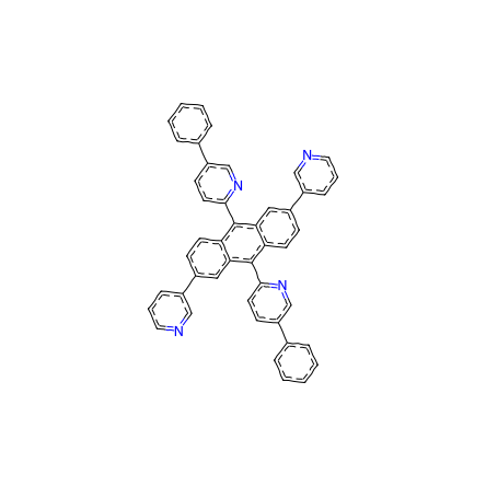 c1ccc(-c2ccc(-c3c4ccc(-c5cccnc5)cc4c(-c4ccc(-c5ccccc5)cn4)c4ccc(-c5cccnc5)cc34)nc2)cc1